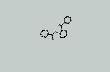 O=C(Oc1ccccc1C(=O)c1ccccc1)c1ccccc1